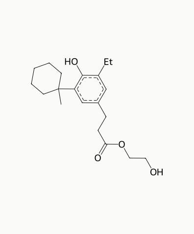 CCc1cc(CCC(=O)OCCO)cc(C2(C)CCCCC2)c1O